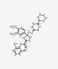 Cc1ccc(C2(CCN3CCN(C4CCCCC4)CC3)CCN(C(=O)Cc3c(F)cccc3Cl)C2)cc1C